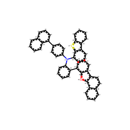 c1ccc(N(c2ccc(-c3cccc4ccccc34)cc2)c2cccc3c2sc2ccccc23)c(-c2cccc3c2oc2c4ccccc4ccc32)c1